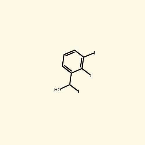 OC(I)c1cccc(I)c1I